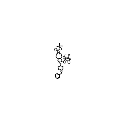 CC(C)(C)OC(=O)N1CCC2=NN(C3CCN(Cc4ccccc4)CC3)C(OS(=O)(=O)C(F)(F)F)C2CC1